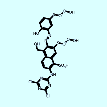 O=S(=O)(O)c1c(Nc2nc(Cl)nc(Cl)n2)ccc2c(CO)c(/N=N/c3cc(SOOO)ccc3O)c(SOOO)cc12